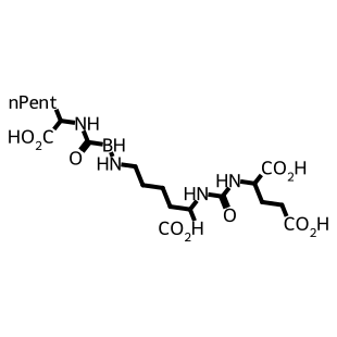 CCCCCC(NC(=O)BNCCCCC(NC(=O)NC(CCC(=O)O)C(=O)O)C(=O)O)C(=O)O